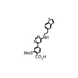 CSc1cc(-c2cc(NCCc3ccc4sccc4c3)ncn2)ccc1C(=O)O